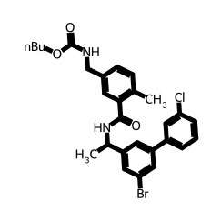 CCCCOC(=O)NCc1ccc(C)c(C(=O)NC(C)c2cc(Br)cc(-c3cccc(Cl)c3)c2)c1